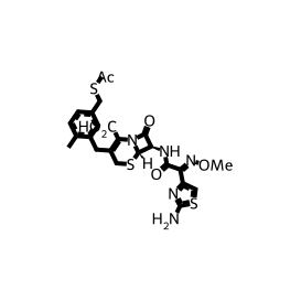 CON=C(C(=O)N[C@@H]1C(=O)N2C(C(=O)O)=C(Cc3cc(CSC(C)=O)ccc3C)CS[C@H]12)c1csc(N)n1